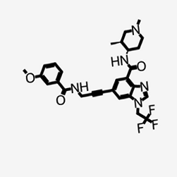 COc1cccc(C(=O)NCC#Cc2cc(C(=O)N[C@H]3CCN(C)C[C@@H]3C)c3ncn(CC(F)(F)F)c3c2)c1